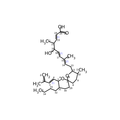 C=C(C)/C=C/C1OC2(CCC(C)C(C/C=C(C)/C=C/C(O)C(C)/C=C/C(=O)O)O2)CCC1CCCC